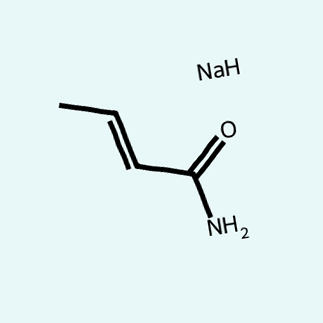 CC=CC(N)=O.[NaH]